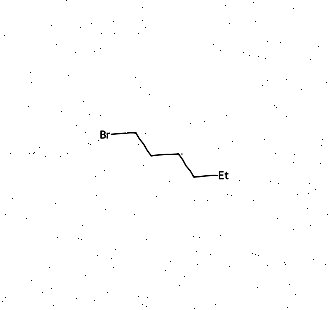 CCC[CH]CCBr